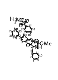 COC(=O)N[C@@H](Cc1ccccc1)C(=O)N[C@@H](Cc1ccc(S(=O)(=O)ON)cc1)c1csc(-c2cnccn2)n1